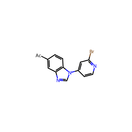 CC(=O)c1ccc2c(c1)ncn2-c1ccnc(Br)c1